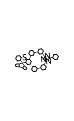 c1ccc(-c2cccc(-c3nc(-c4ccccc4)nc(-c4cccc(-c5cccc(-c6cccc7c6Sc6ccccc6C76c7ccccc7-c7ccccc76)c5)c4)n3)c2)cc1